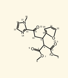 COC(=O)C(C(=O)OC)C(CC(=O)c1nccn1C)c1ccco1